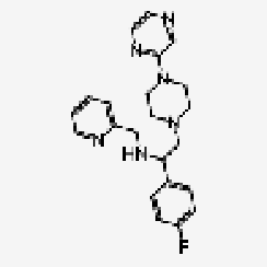 Fc1ccc(C(CN2CCN(c3cnccn3)CC2)NCc2ccccn2)cc1